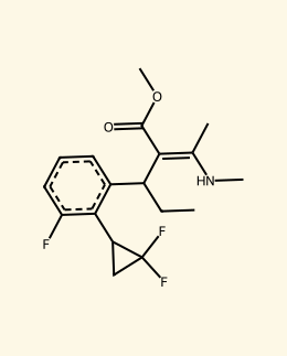 CCC(/C(C(=O)OC)=C(/C)NC)c1cccc(F)c1C1CC1(F)F